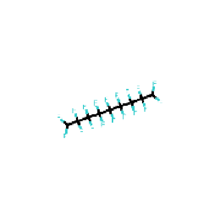 FC(F)C(F)(F)C(F)(F)C(F)(F)C(F)(F)C(F)(F)C(F)(F)C(F)(F)C(F)F